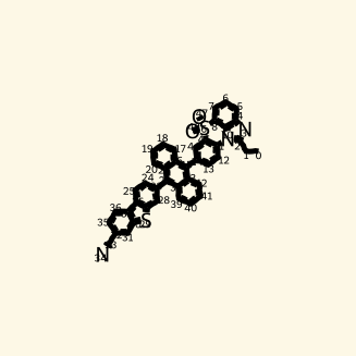 CCc1nc2cccc3c2n1-c1ccc(-c2c4ccccc4c(-c4ccc5c(c4)sc4cc(C#N)ccc45)c4ccccc24)cc1S3(=O)=O